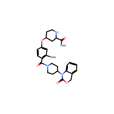 COC(=O)C1CC(Oc2ccc(C(=O)N3CCC(N4C(=O)OCc5ccccc54)CC3)c(OC)c2)CCN1